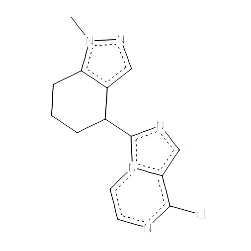 Cn1ncc2c1CCCC2c1ncc2c(Cl)nccn12